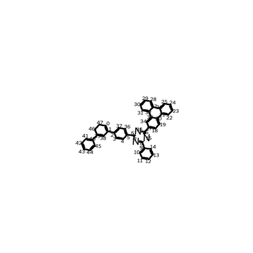 C1=C(c2ccc(-c3nc(-c4ccccc4)nc(-c4ccc5c6ccccc6c6ccccc6c5c4)n3)cc2)C=C(c2ccccc2)CC1